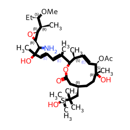 CC[C@H](OC)[C@@H](C)[C@H]1O[C@@H]1C(N)C(C)(O)/C=C/C=C(\C)C1OC(=O)C[C@H](CC(C)(C)[Si](C)(C)O)CC[C@@](C)(O)[C@@H](OC(C)=O)/C=C/[C@@H]1C